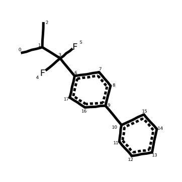 CC(C)C(F)(F)c1ccc(-c2ccccc2)cc1